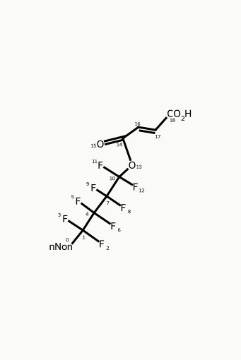 CCCCCCCCCC(F)(F)C(F)(F)C(F)(F)C(F)(F)OC(=O)/C=C/C(=O)O